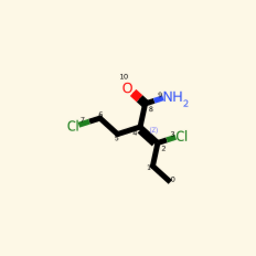 CC/C(Cl)=C(\CCCl)C(N)=O